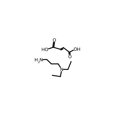 CCN(CC)CCCN.O=C(O)C=CC(=O)O